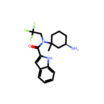 CC1(N(CC(F)(F)F)C(=O)c2cc3ccccc3[nH]2)CCC[C@@H](N)C1